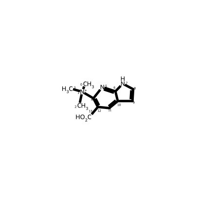 C[N+](C)(C)c1nc2[nH]ccc2cc1C(=O)O